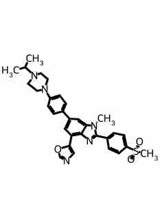 CC(C)N1CCN(c2ccc(-c3cc(-c4cnco4)c4nc(-c5ccc(S(C)(=O)=O)cc5)n(C)c4c3)cc2)CC1